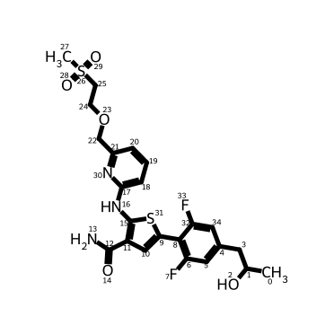 CC(O)Cc1cc(F)c(-c2cc(C(N)=O)c(Nc3cccc(COCCS(C)(=O)=O)n3)s2)c(F)c1